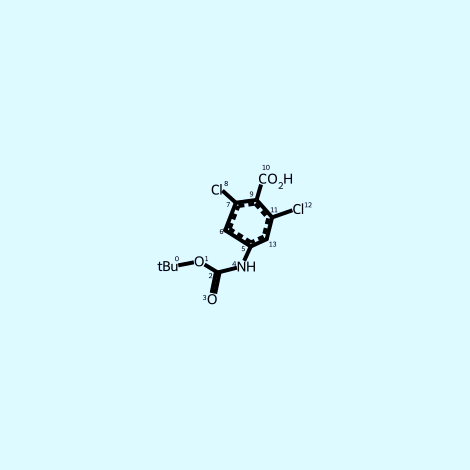 CC(C)(C)OC(=O)Nc1cc(Cl)c(C(=O)O)c(Cl)c1